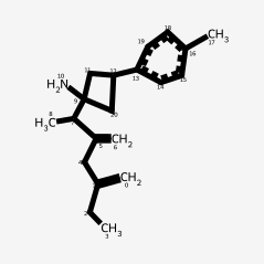 C=C(CC)CC(=C)C(C)C1(N)CC(c2ccc(C)cc2)C1